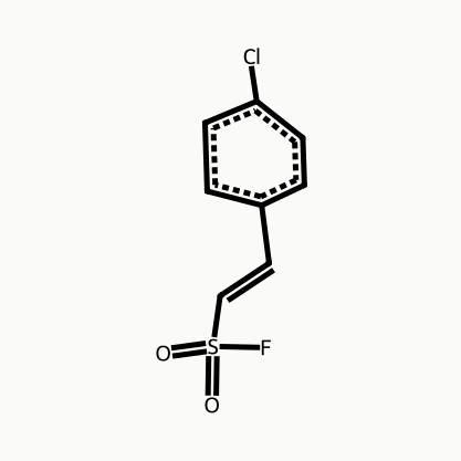 O=S(=O)(F)C=Cc1ccc(Cl)cc1